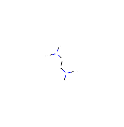 CCCCN([SiH2][SiH2]N(CCCC)C(C)CC)C(C)CC